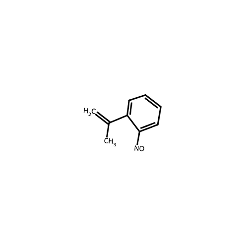 C=C(C)c1ccccc1N=O